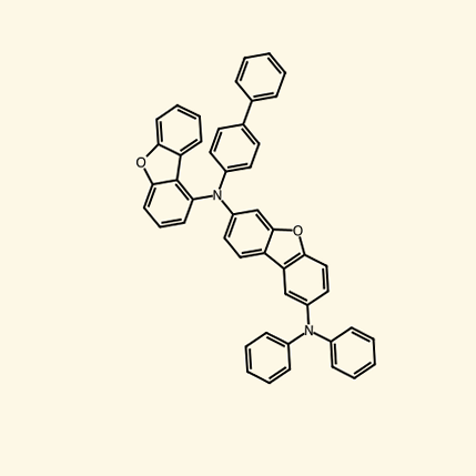 c1ccc(-c2ccc(N(c3ccc4c(c3)oc3ccc(N(c5ccccc5)c5ccccc5)cc34)c3cccc4oc5ccccc5c34)cc2)cc1